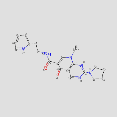 CCn1cc(C(=O)NCCc2ccccn2)c(=O)c2cnc(N3CCCC3)nc21